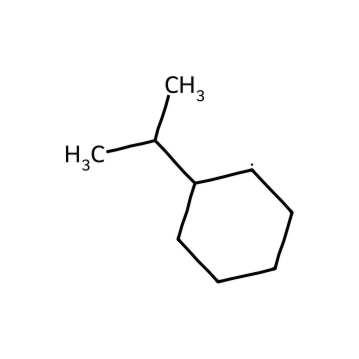 CC(C)C1[CH]CCCC1